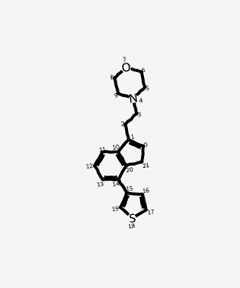 C1=C(CCN2CCOCC2)c2cccc(-c3ccsc3)c2C1